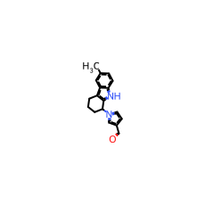 Cc1ccc2[nH]c3c(c2c1)CCCC3n1ccc(C=O)c1